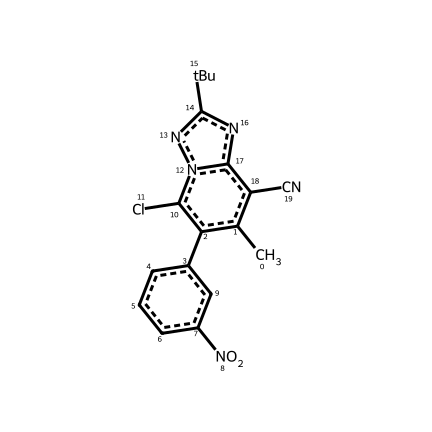 Cc1c(-c2cccc([N+](=O)[O-])c2)c(Cl)n2nc(C(C)(C)C)nc2c1C#N